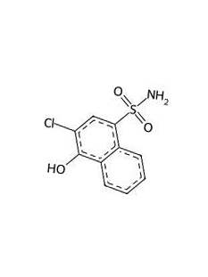 NS(=O)(=O)c1cc(Cl)c(O)c2ccccc12